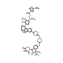 Cc1c([C@@H](C)CCC(=O)c2noc(C(C)(C)C)n2)ccc(-c2ncnc3[nH]c4cc(N5CCN(CC6CCN(Cc7ccc8c(c7)C(C)(C)C(=O)N8C7CCC(=O)NC7=O)CC6)CC5)ccc4c23)c1F